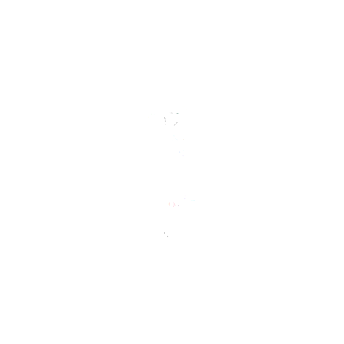 N#CCCCC(=O)N[C@H]1CC[C@H](CCN2CCN(c3cc(Cl)cc(Cl)c3)CC2)CC1